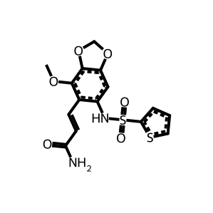 COc1c(/C=C/C(N)=O)c(NS(=O)(=O)c2cccs2)cc2c1OCO2